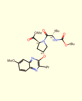 COC(=O)[C@@H]1C[C@@H](Oc2nc3cc(OC)ccc3nc2C(C)C)CN1C(=O)[C@@H](NC(=O)OC(C)(C)C)C(C)(C)C